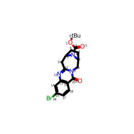 CC(C)(C)OC(=O)N1C2CCC1Cn1c(nc3cc(Br)ccc3c1=O)C2